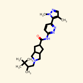 Cc1cnn(C)c1-c1ccc(NC(=O)C2CC3CN(CC(C)C(C)(C)C)CC3C2)nn1